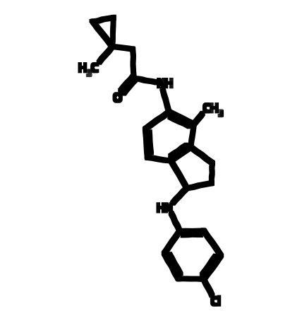 Cc1c(NC(=O)CC2(C)CC2)ccc2c1CCC2Nc1ccc(Cl)cc1